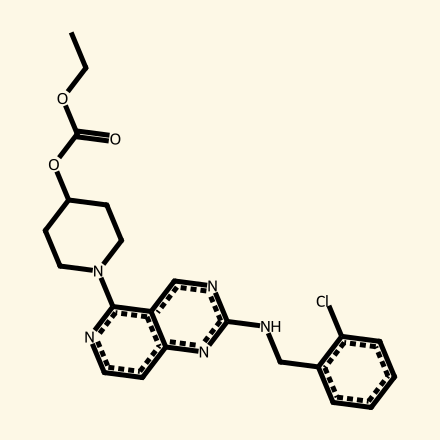 CCOC(=O)OC1CCN(c2nccc3nc(NCc4ccccc4Cl)ncc23)CC1